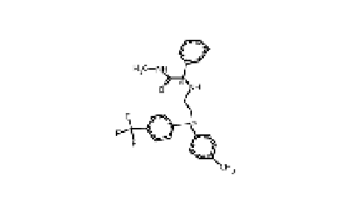 CNC(=O)[C@H](NCC[C@@H](c1ccc(C)cc1)c1ccc(C(F)(F)F)cc1)c1ccccc1